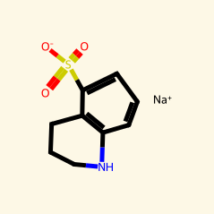 O=S(=O)([O-])c1cccc2c1CCCN2.[Na+]